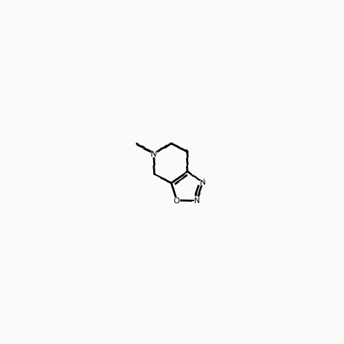 CN1CCc2nnoc2C1